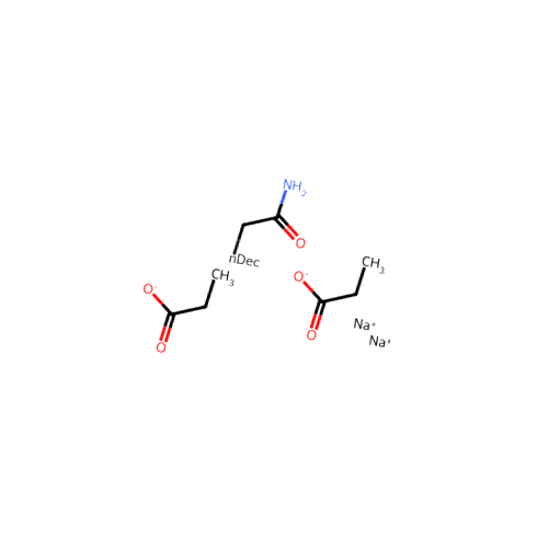 CCC(=O)[O-].CCC(=O)[O-].CCCCCCCCCCCC(N)=O.[Na+].[Na+]